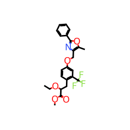 CCOC(Cc1ccc(OCc2nc(-c3ccccc3)oc2C)cc1C(F)(F)F)C(=O)OC